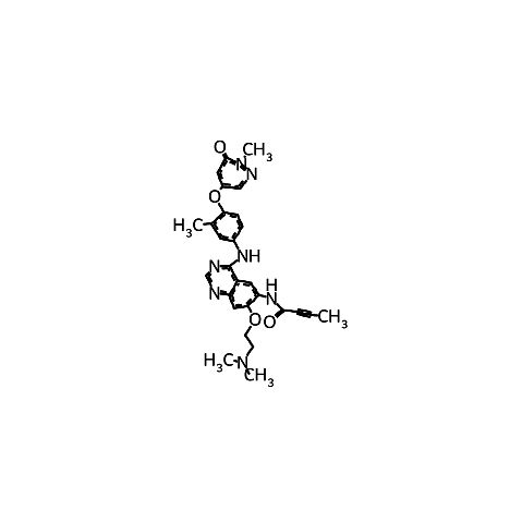 CC#CC(=O)Nc1cc2c(Nc3ccc(Oc4cnn(C)c(=O)c4)c(C)c3)ncnc2cc1OCCN(C)C